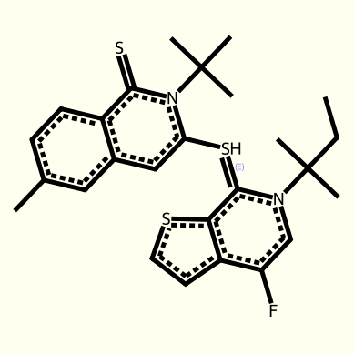 CCC(C)(C)n1cc(F)c2ccsc2/c1=[SH]\c1cc2cc(C)ccc2c(=S)n1C(C)(C)C